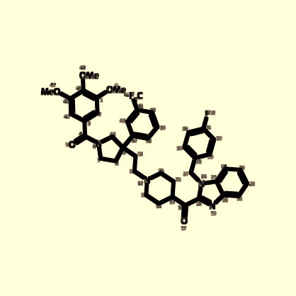 COc1cc(C(=O)N2CCC(CCN3CCC(C(=O)c4nc5ccccc5n4Cc4ccc(F)cc4)CC3)(c3cccc(C(F)(F)F)c3)C2)cc(OC)c1OC